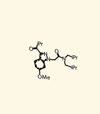 COc1ccc2c(C(=O)C(C)C)nn(CC(=O)N(CC(C)C)CC(C)C)c2c1